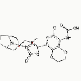 CCCCN1C2CCC1CC(n1nc(-c3cc(Cl)c(NC(=O)O)c4c3OCCO4)oc1=O)C2